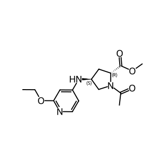 CCOc1cc(N[C@H]2C[C@H](C(=O)OC)N(C(C)=O)C2)ccn1